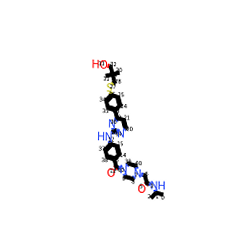 CC(C)NC(=O)CN1CCN(C(=O)c2ccc(Nc3nccc(-c4ccc(SCC(C)(C)CO)cc4)n3)cc2)CC1